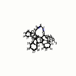 C=C1/C=C\C=C/CC(C)(C)c2c1c1c(c3c4ccccc4n(-c4ccccc4)c23)-c2ccccc2C1(C)C